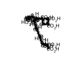 CC(C)(C)[Si](F)(c1ccc(C(=O)NC[C@@H](NC(=O)CCC(C(=O)O)N2CCN(CC(=O)O)CCN(CC(=O)O)CCN(CC(=O)O)CC2)C(=O)N[C@H](CCCCNC(=O)CCCCCCC(=O)NCCCC[C@H](NC(=O)N[C@@H](CCC(=O)O)C(=O)O)C(=O)O)C(=O)O)cc1)C(C)(C)C